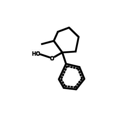 CC1CCCCC1(OO)c1ccccc1